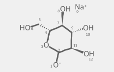 [Na+].[O-]C1O[C@H](CO)[C@@H](O)[C@H](O)[C@H]1O